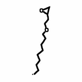 [CH2]CCCCCCCCOCCC1CO1